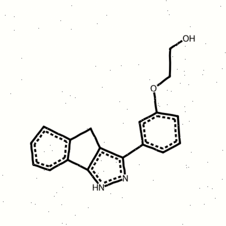 OCCOc1cccc(-c2n[nH]c3c2Cc2ccccc2-3)c1